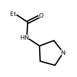 CCC(=O)NC1CC[N]C1